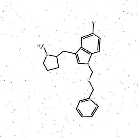 CN1CCCC1Cc1cn(COCc2ccccc2)c2ccc(Br)cc12